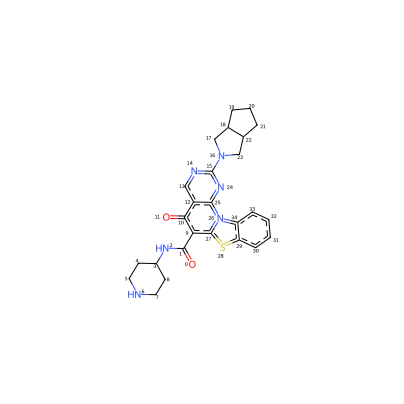 O=C(NC1CCNCC1)c1c(=O)c2cnc(N3CC4CCCC4C3)nc2n2c1sc1ccccc12